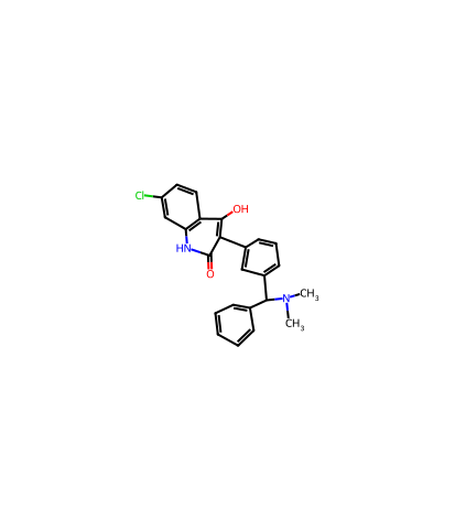 CN(C)C(c1ccccc1)c1cccc(-c2c(O)c3ccc(Cl)cc3[nH]c2=O)c1